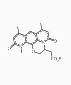 CCOC(=O)CC1COc2c3c(cc4c(C)cc(=O)n1c24)c(C)cc(=O)n3C